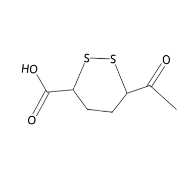 CC(=O)C1CCC(C(=O)O)SS1